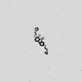 O=C1C(OCCN2CCC2)=CC=C2c3ccc(OCCN4CCC4)cc3[S+]([O-])C12